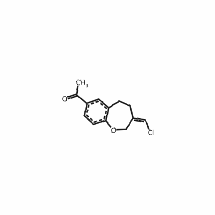 CC(=O)c1ccc2c(c1)CCC(=CCl)CO2